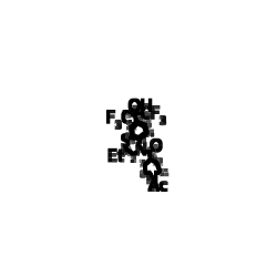 CC[C@H]1CN(C(=O)C2CCN(C(C)=O)CC2)c2ccc(C(O)(C(F)(F)F)C(F)(F)F)cc2S1